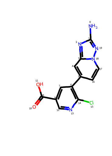 Nc1nc2cc(-c3cc(C(=O)O)cnc3Cl)ccn2n1